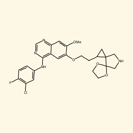 COc1cc2ncnc(Nc3ccc(F)c(Cl)c3)c2cc1OCCC1CC12CNCC21OCCO1